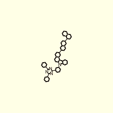 c1ccc(-c2nc(-c3ccccc3)nc(-c3cccc(-n4c5ccccc5c5c6cc(-c7ccc8cc(-c9cccc%10ccccc9%10)ccc8c7)ccc6ccc54)c3)n2)cc1